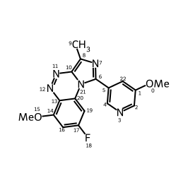 COc1cncc(-c2nc(C)c3nnc4c(OC)cc(F)cc4n23)c1